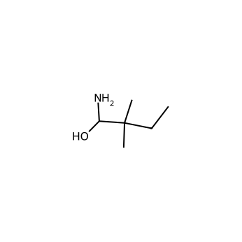 CCC(C)(C)C(N)O